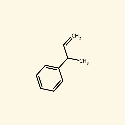 C=CC(C)c1[c]cccc1